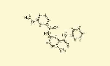 COc1cccc(C(=O)Nc2ccc(C)c(C(=O)Nc3cccnc3)c2)c1